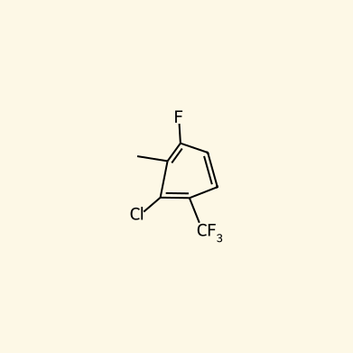 Cc1c(F)ccc(C(F)(F)F)c1Cl